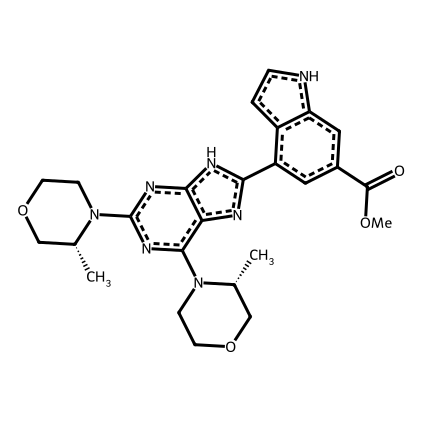 COC(=O)c1cc(-c2nc3c(N4CCOC[C@H]4C)nc(N4CCOC[C@H]4C)nc3[nH]2)c2cc[nH]c2c1